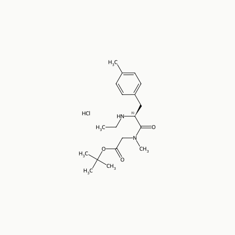 CCN[C@@H](Cc1ccc(C)cc1)C(=O)N(C)CC(=O)OC(C)(C)C.Cl